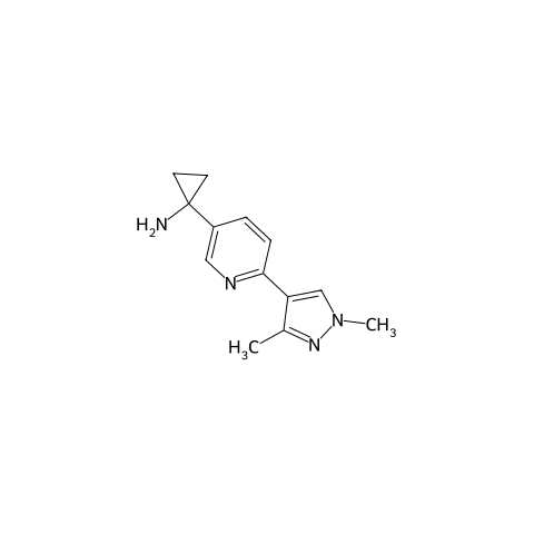 Cc1nn(C)cc1-c1ccc(C2(N)CC2)cn1